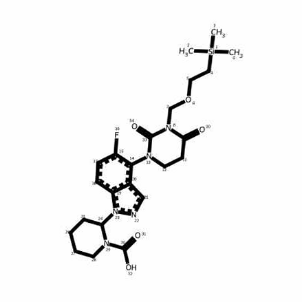 C[Si](C)(C)CCOCN1C(=O)CCN(c2c(F)ccc3c2cnn3C2CCCCN2C(=O)O)C1=O